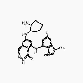 Cc1c[nH]c2c(Nc3nc(N[C@@H]4CCCC[C@@H]4N)cc4cn[nH]c(=O)c34)cc(F)cc12